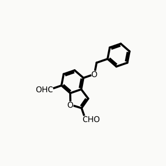 O=Cc1cc2c(OCc3ccccc3)ccc(C=O)c2o1